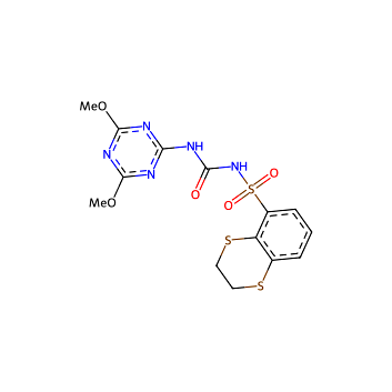 COc1nc(NC(=O)NS(=O)(=O)c2cccc3c2SCCS3)nc(OC)n1